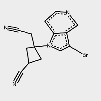 N#CCC1(n2cc(Br)c3cnccc32)CC(C#N)C1